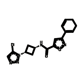 CCc1cnnn1[C@H]1C[C@@H](NC(=O)c2cc(C3=CCCC=C3)no2)C1